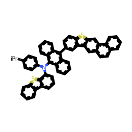 CC(C)c1ccc(N(c2c3ccccc3c(-c3ccc4sc5cc6c(ccc7ccccc76)cc5c4c3)c3ccccc23)c2cccc3c2sc2ccccc23)cc1